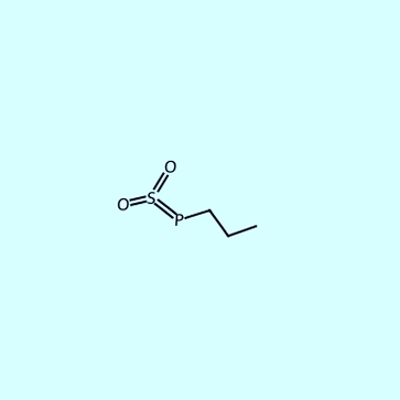 CCCP=S(=O)=O